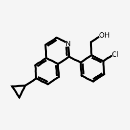 OCc1c(Cl)cccc1-c1nccc2cc(C3CC3)ccc12